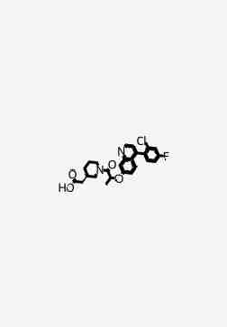 CC(Oc1ccc2c(-c3ccc(F)cc3Cl)ccnc2c1)C(=O)N1CCC[C@H](CC(=O)O)C1